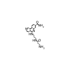 NCCC(=O)NCCCNc1nc2cc(C(N)=O)ccc2c2cnccc12